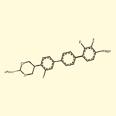 CCCCCCCc1ccc(-c2ccc(-c3ccc(C4COC(CCCCC)OC4)c(F)c3)cc2)c(F)c1F